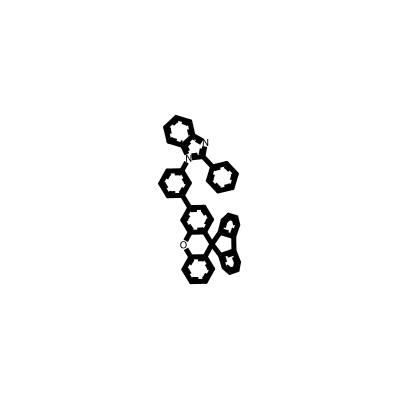 c1ccc(-c2nc3ccccc3n2-c2cccc(-c3ccc4c(c3)Oc3ccccc3C43c4ccccc4-c4ccccc43)c2)cc1